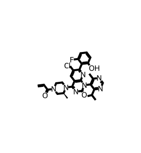 C=CC(=O)N1CCN(c2nc(=O)n(-c3c(C)ncnc3C(C)C)c3nc(-c4c(O)cccc4F)c(Cl)cc23)[C@@H](C)C1